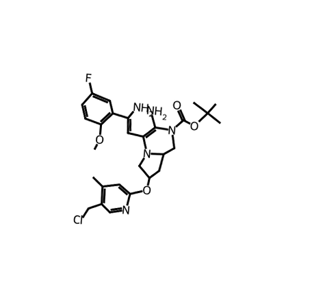 COc1ccc(F)cc1/C(N)=C/C1=C(N)N(C(=O)OC(C)(C)C)CC2CC(Oc3cc(C)c(CCl)cn3)CN12